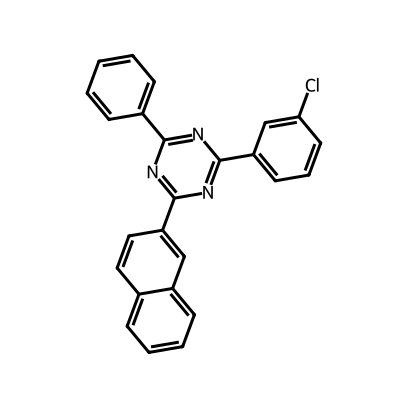 Clc1cccc(-c2nc(-c3ccccc3)nc(-c3ccc4ccccc4c3)n2)c1